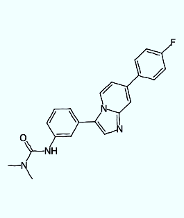 CN(C)C(=O)Nc1cccc(-c2cnc3cc(-c4ccc(F)cc4)ccn23)c1